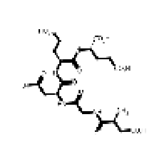 NC(=O)C[C@H](NC(=O)CNC(=O)[C@@H](N)CC(=O)O)C(=O)N[C@@H](CCC(=O)O)C(=O)N[C@@H](CCC(=O)O)C(=O)O